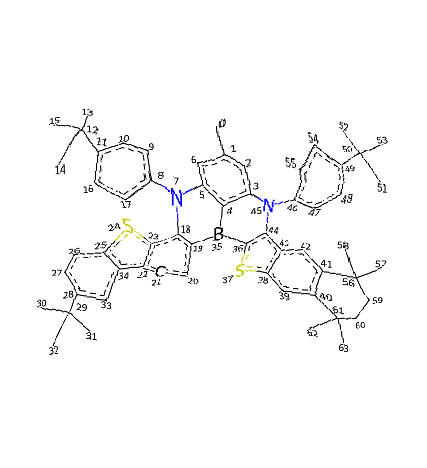 Cc1cc2c3c(c1)N(c1ccc(C(C)(C)C)cc1)c1c(ccc4c1sc1ccc(C(C)(C)C)cc14)B3c1sc3cc4c(cc3c1N2c1ccc(C(C)(C)C)cc1)C(C)(C)CCC4(C)C